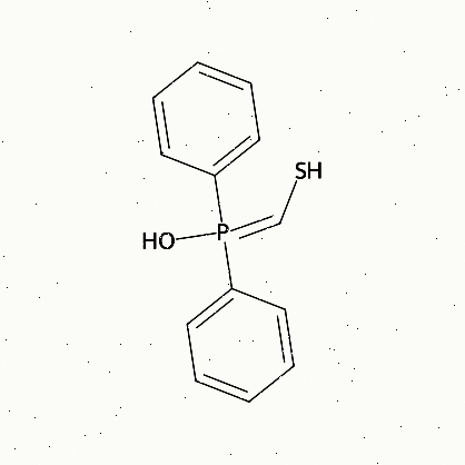 OP(=CS)(c1ccccc1)c1ccccc1